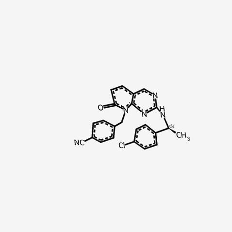 C[C@H](Nc1ncc2ccc(=O)n(Cc3ccc(C#N)cc3)c2n1)c1ccc(Cl)cc1